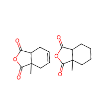 CC12CC=CCC1C(=O)OC2=O.CC12CCCCC1C(=O)OC2=O